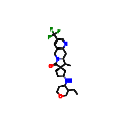 CCC1COCCC1N[C@@H]1CC[C@@]2(C1)C(=O)N1Cc3cc(C(F)(F)F)cnc3CC1C2C